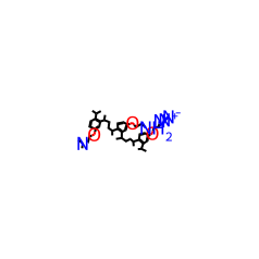 CC(C)c1cc(OCCN=[N+]=[N-])ccc1C(C)CCC(C)c1cc(OCCN)ccc1C(C)CCC(C)c1cc(OCCN(C)C)ccc1C(C)C